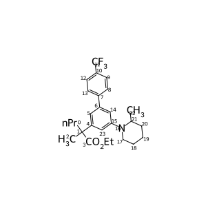 CCCC(C)(C(=O)OCC)c1cc(-c2ccc(C(F)(F)F)cc2)cc(N2CCCCC2C)c1